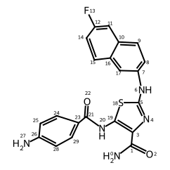 NC(=O)c1nc(Nc2ccc3cc(F)ccc3c2)sc1NC(=O)c1ccc(N)cc1